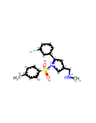 CNCc1cc(-c2cccc(F)c2)n(S(=O)(=O)c2ccc(C)cc2)c1